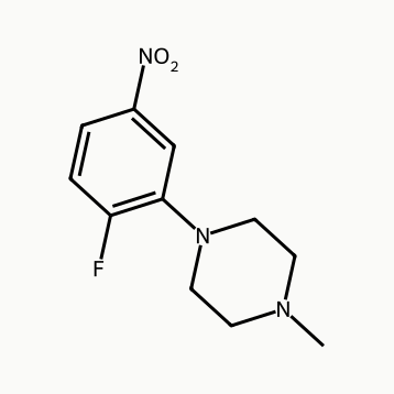 CN1CCN(c2cc([N+](=O)[O-])ccc2F)CC1